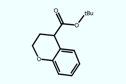 CC(C)(C)OC(=O)C1CCOc2ccccc21